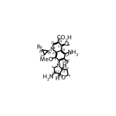 COc1c(N2C[C@H](N)[C@H]3OCC[C@H]32)c(F)c(N)c2c(=O)c(C(=O)O)cn([C@@H]3C[C@@H]3F)c12